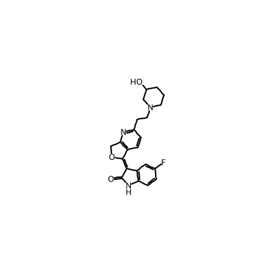 O=C1Nc2ccc(F)cc2/C1=C1/OCc2nc(CCN3CCCC(O)C3)ccc21